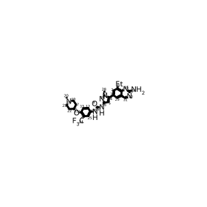 CCc1cc(-c2cc(NC(=O)Nc3ccc(OC4CCN(C)CC4)c(C(F)(F)F)c3)nn2C)cc2cnc(N)nc12